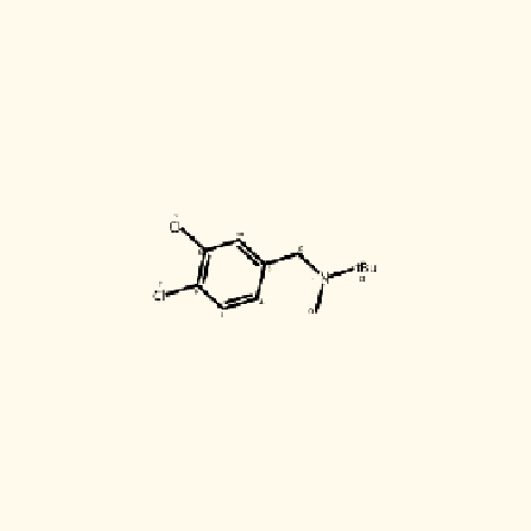 CN(Cc1ccc(Cl)c(Cl)c1)C(C)(C)C